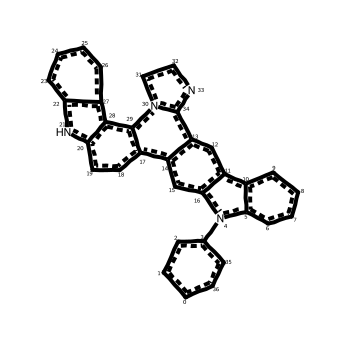 c1ccc(-n2c3ccccc3c3cc4c(cc32)c2ccc3[nH]c5ccccc5c3c2n2ccnc42)cc1